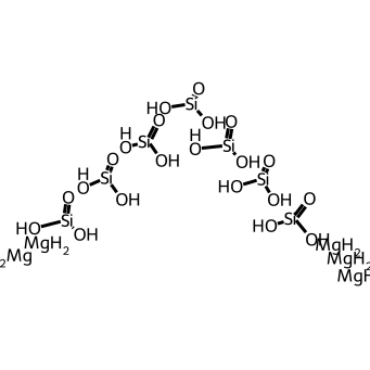 O=[Si](O)O.O=[Si](O)O.O=[Si](O)O.O=[Si](O)O.O=[Si](O)O.O=[Si](O)O.O=[Si](O)O.[MgH2].[MgH2].[MgH2].[MgH2].[MgH2]